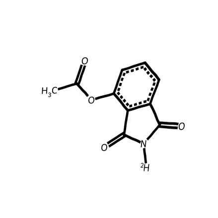 [2H]N1C(=O)c2cccc(OC(C)=O)c2C1=O